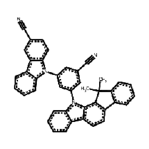 CC1(C)c2ccccc2-c2ccc3c4ccccc4n(-c4cc(C#N)cc(-n5c6ccccc6c6cc(C#N)ccc65)c4)c3c21